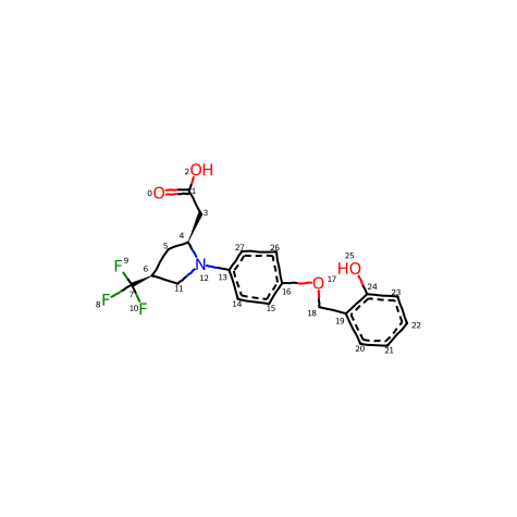 O=C(O)C[C@@H]1C[C@H](C(F)(F)F)CN1c1ccc(OCc2ccccc2O)cc1